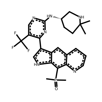 CC1(C)CC[C@H](Nc2ncc(C(F)(F)F)c(-c3c[nH]c4c(P(C)(C)=O)c5ncccc5cc34)n2)CN1